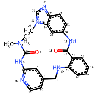 CN(C)C(=O)Nc1cc(CNc2ccccc2C(=O)Nc2ccc3ncn(C)c3c2)ccn1